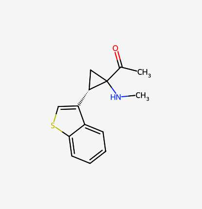 CNC1(C(C)=O)C[C@H]1c1csc2ccccc12